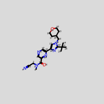 CN(CC#N)C(=O)c1cncc(-c2cn(CC3CCOCC3)c(C(C)(C)C)n2)n1